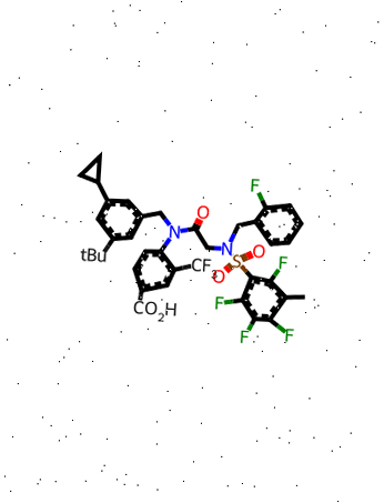 Cc1c(F)c(F)c(F)c(S(=O)(=O)N(CC(=O)N(Cc2cc(C3CC3)cc(C(C)(C)C)c2)c2ccc(C(=O)O)cc2C(F)(F)F)Cc2ccccc2F)c1F